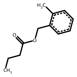 [CH2]c1ccccc1COC(=O)CCC